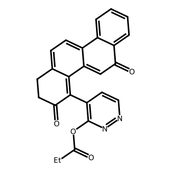 CCC(=O)Oc1nnccc1C1=c2c(ccc3c2=CC(=O)c2ccccc2-3)CCC1=O